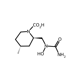 C[C@@H]1CCN(C(=O)O)[C@@H](CN(O)C(N)=O)C1